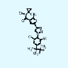 CCc1cc(C(P)(C(F)(F)F)C(F)(F)P)cc(Cl)c1-n1cc(-c2cc(C(=O)N(CC)C3(C#N)CC3)c(CC)s2)nn1